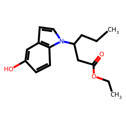 CCCC(CC(=O)OCC)n1ccc2cc(O)ccc21